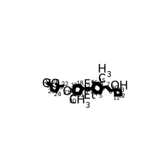 CCC(CC)(c1ccc(C=CC2(O)CCC2)c(C)c1)c1ccc(OCC2=CCC(=O)O2)c(C)c1